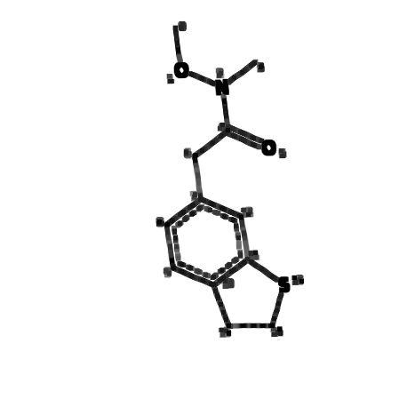 CON(C)C(=O)Cc1ccc2c(c1)SCC2